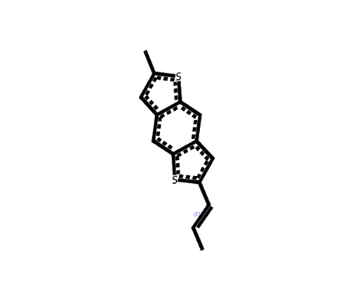 C/C=C/c1cc2cc3sc(C)cc3cc2s1